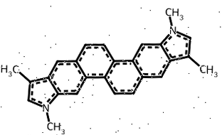 Cc1cn(C)c2cc3c(ccc4c5cc6c(cc5ccc34)c(C)cn6C)cc12